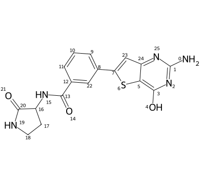 Nc1nc(O)c2sc(-c3cccc(C(=O)NC4CCNC4=O)c3)cc2n1